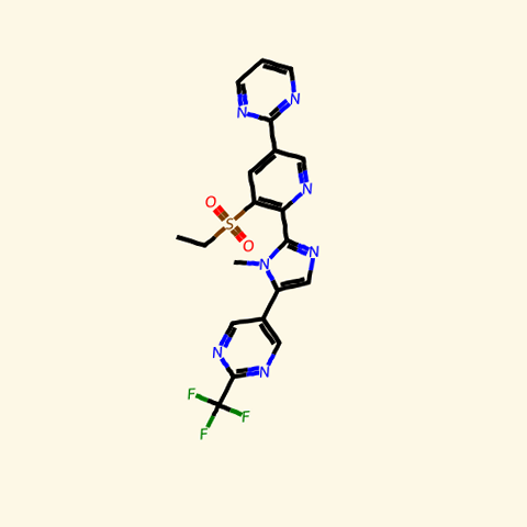 CCS(=O)(=O)c1cc(-c2ncccn2)cnc1-c1ncc(-c2cnc(C(F)(F)F)nc2)n1C